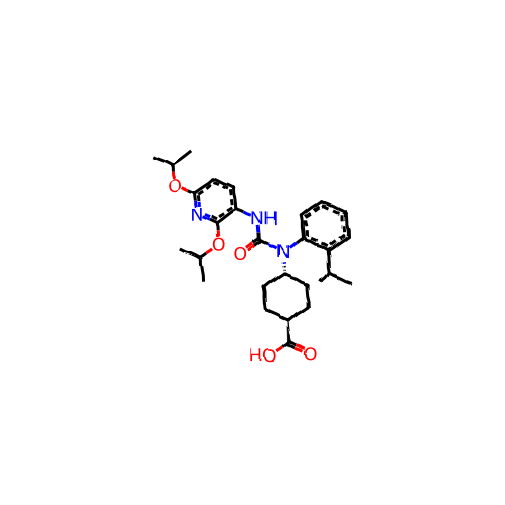 CC(C)Oc1ccc(NC(=O)N(c2ccccc2C(C)C)[C@H]2CC[C@H](C(=O)O)CC2)c(OC(C)C)n1